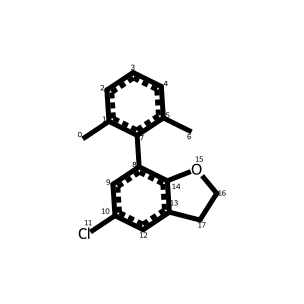 Cc1cccc(C)c1-c1cc(Cl)cc2c1O[CH]C2